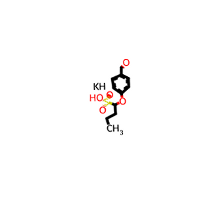 CCCC(Oc1ccc(C=O)cc1)S(=O)(=O)O.[KH]